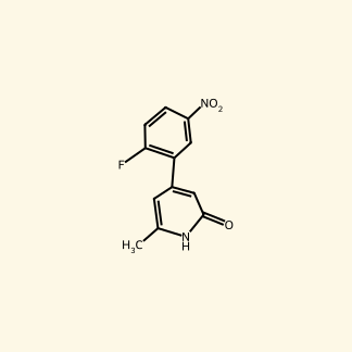 Cc1cc(-c2cc([N+](=O)[O-])ccc2F)cc(=O)[nH]1